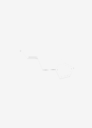 BrC=CCc1ccco1